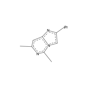 Cc1cc2nc(C(C)C)cn2c(C)n1